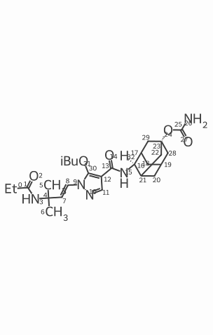 CCC(=O)NC(C)(C)/C=C/n1ncc(C(=O)N[C@H]2C3CC4CC2C[C@](OC(N)=O)(C4)C3)c1OCC(C)C